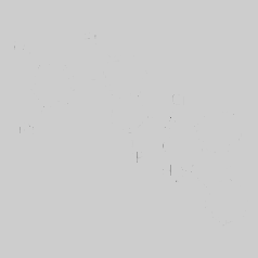 CCc1ccc2c(c1-c1cc(C(C)C)cc(C(C)C)c1)C=C(C(C)C)[CH]2[Zr]([Cl])([Cl])[c]1cccc2c1[SiH2]c1ccccc1-2